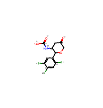 O=C1COC(c2cc(F)c(F)cc2F)C(NC(=O)O)C1